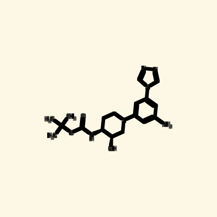 CC(C)(C)OC(=O)N[C@H]1CCN(c2cc(N)cc(-n3cnnc3)c2)C[C@H]1O